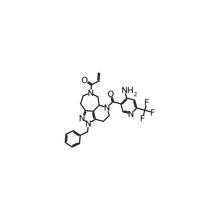 C=CC(=O)N1CCc2nn(Cc3ccccc3)c3c2C(C1)N(C(=O)c1cnc(C(F)(F)F)cc1N)CC3